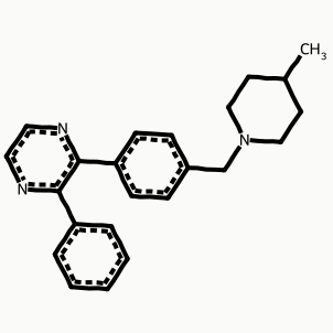 CC1CCN(Cc2ccc(-c3nccnc3-c3ccccc3)cc2)CC1